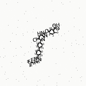 Cc1ccc(Oc2nc3nc(-c4ccc(-c5ccc(-c6ncn(CC(F)(F)F)n6)cc5)cc4)c(Cl)cc3[nH]2)cc1C(=O)O